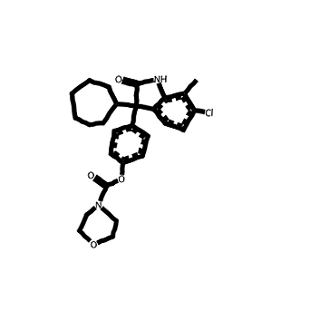 Cc1c(Cl)ccc2c1NC(=O)C2(c1ccc(OC(=O)N2CCOCC2)cc1)C1CCCCCC1